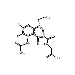 CCn1cc(C(=O)NCC(=O)O)c(=O)c2c(NC(C)=O)c(F)c(F)cc21